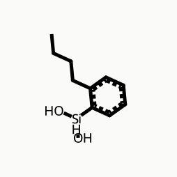 CCCCc1ccccc1[SiH](O)O